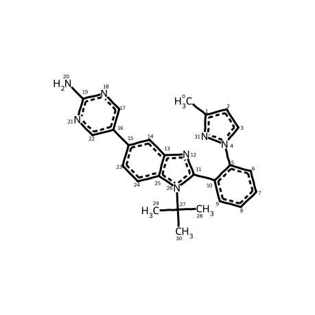 Cc1ccn(-c2ccccc2-c2nc3cc(-c4cnc(N)nc4)ccc3n2C(C)(C)C)n1